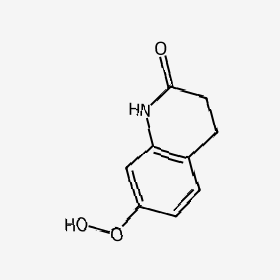 O=C1CCc2ccc(OO)cc2N1